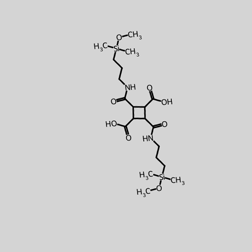 CO[Si](C)(C)CCCNC(=O)C1C(C(=O)O)C(C(=O)NCCC[Si](C)(C)OC)C1C(=O)O